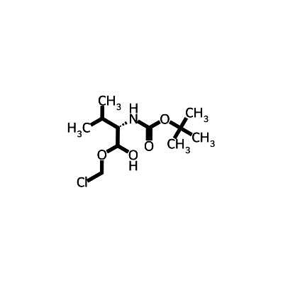 CC(C)[C@H](NC(=O)OC(C)(C)C)C(O)OCCl